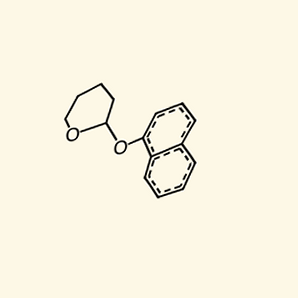 c1ccc2c(OC3CCCCO3)cccc2c1